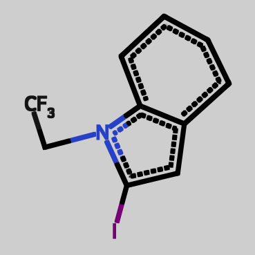 FC(F)(F)Cn1c(I)cc2ccccc21